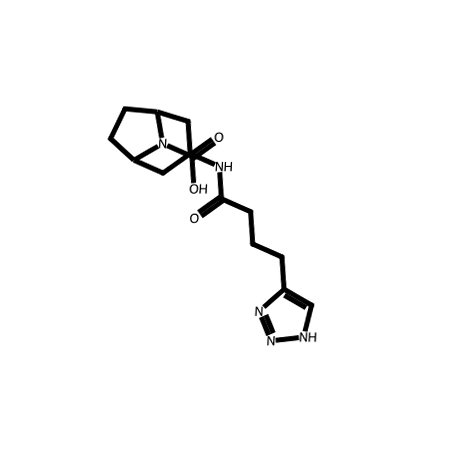 O=C(CCCc1c[nH]nn1)NC1CC2CCC(C1)N2C(=O)O